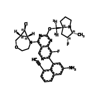 [2H]C([2H])(Oc1nc(N2CCOC[C@@H]3[C@@H](Cl)[C@@H]32)c2cnc(-c3cc(N)cc4cccc(C#C)c34)c(F)c2n1)[C@@]12CCCN1[C@H](C)[C@H](F)C2